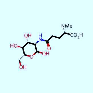 CN[C@@H](CCC(=O)N[C@H]1C(O)O[C@H](CO)[C@@H](O)[C@@H]1O)C(=O)O